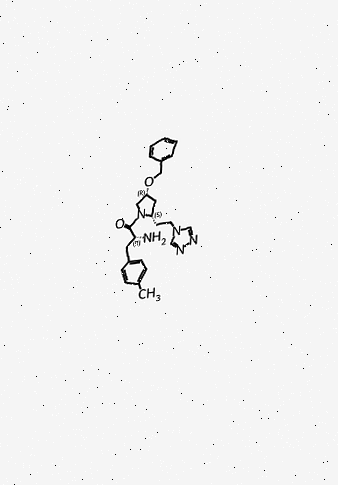 Cc1ccc(C[C@@H](N)C(=O)N2C[C@H](OCc3ccccc3)C[C@@H]2CCn2cnnc2)cc1